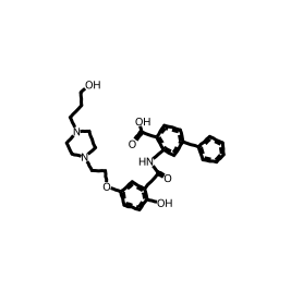 O=C(Nc1cc(-c2ccccc2)ccc1C(=O)O)c1cc(OCCN2CCN(CCCO)CC2)ccc1O